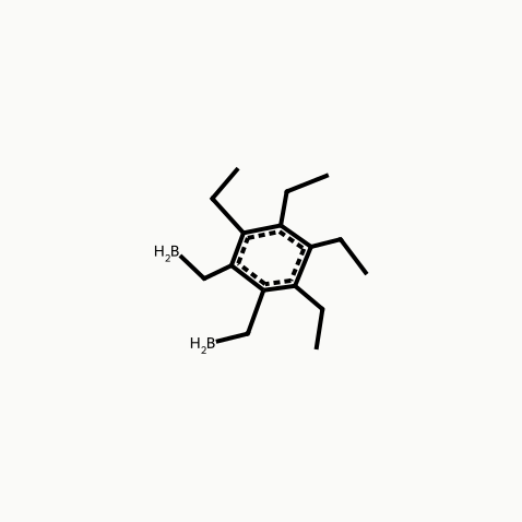 BCc1c(CB)c(CC)c(CC)c(CC)c1CC